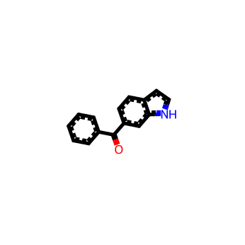 O=C(c1ccccc1)c1ccc2cc[nH]c2c1